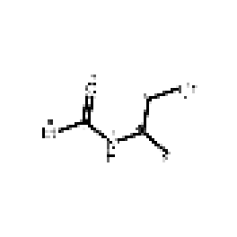 C[CH]C(=O)NC(C)CC(C)C